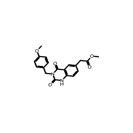 COC(=O)Cc1ccc2[nH]c(=O)n(Cc3ccc(OC)cc3)c(=O)c2c1